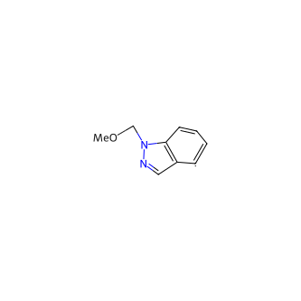 COCn1ncc2[c]cccc21